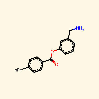 CCCc1ccc(C(=O)Oc2cccc(CN)c2)cc1